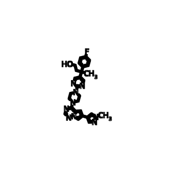 Cn1cc(-c2cc3c(N4CCN(c5ncc(C(C)(CCO)c6ccc(F)cc6)cn5)CC4)ncnn3c2)cn1